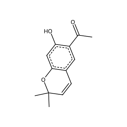 CC(=O)c1cc2c(cc1O)OC(C)(C)C=C2